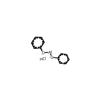 Cl.c1ccc([O][Al][O]c2ccccc2)cc1